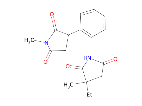 CCC1(C)CC(=O)NC1=O.CN1C(=O)CC(c2ccccc2)C1=O